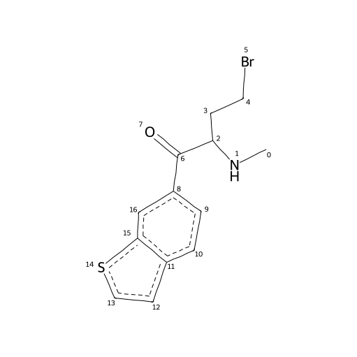 CNC(CCBr)C(=O)c1ccc2ccsc2c1